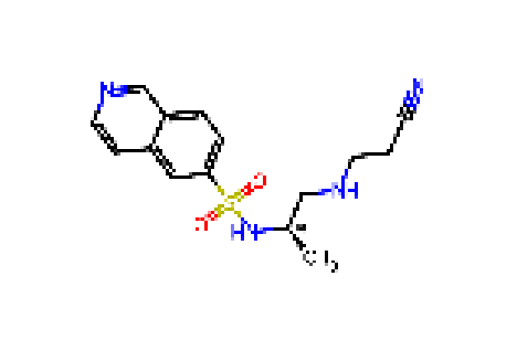 C[C@H](CNCCC#N)NS(=O)(=O)c1ccc2cnccc2c1